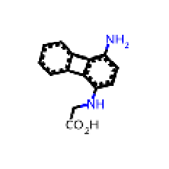 Nc1ccc(NCC(=O)O)c2c1-c1ccccc1-2